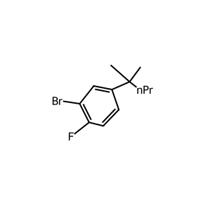 CCCC(C)(C)c1ccc(F)c(Br)c1